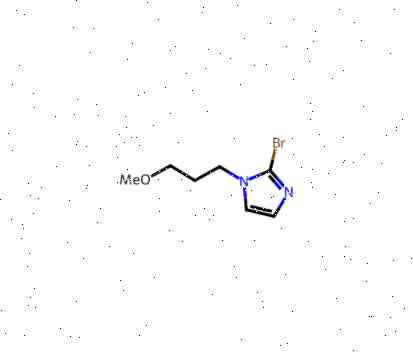 COCCCn1ccnc1Br